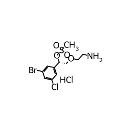 CS(=O)(=O)O[C@H](COCCN)c1cc(Cl)cc(Br)c1.Cl